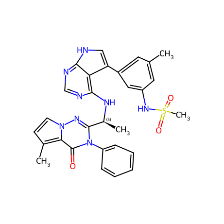 Cc1cc(NS(C)(=O)=O)cc(-c2c[nH]c3ncnc(N[C@@H](C)c4nn5ccc(C)c5c(=O)n4-c4ccccc4)c23)c1